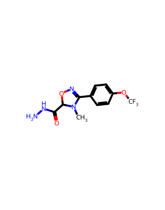 CN1C(c2ccc(OC(F)(F)F)cc2)=NOC1C(=O)NN